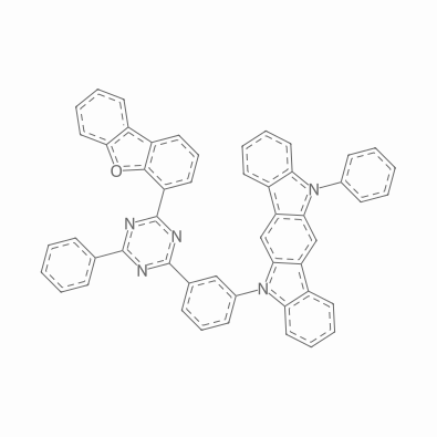 c1ccc(-c2nc(-c3cccc(-n4c5ccccc5c5cc6c(cc54)c4ccccc4n6-c4ccccc4)c3)nc(-c3cccc4c3oc3ccccc34)n2)cc1